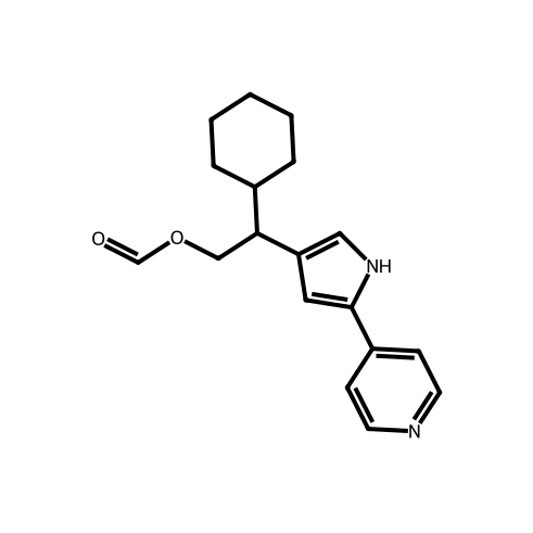 O=COCC(c1c[nH]c(-c2ccncc2)c1)C1CCCCC1